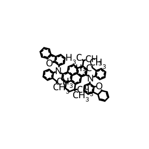 CC(C)c1ccccc1N(c1cccc2c1OC1C=CC=CC21)c1cc(C(C)C)c2ccc3c(N(c4ccccc4C(C)C)c4cccc5c4oc4ccccc45)cc4c5c(cc1c2c35)C(C)(C)CC4